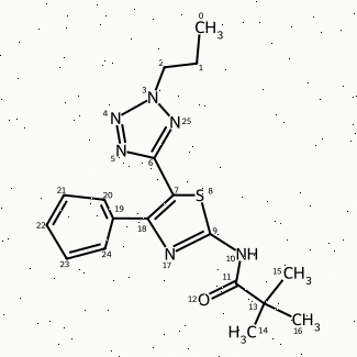 CCCn1nnc(-c2sc(NC(=O)C(C)(C)C)nc2-c2ccccc2)n1